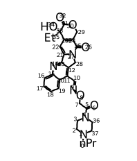 CCCN1CCN(C(=O)CO/N=C/c2c3c(nc4ccccc24)-c2cc4c(c(=O)n2C3)COC(=O)[C@]4(O)CC)CC1